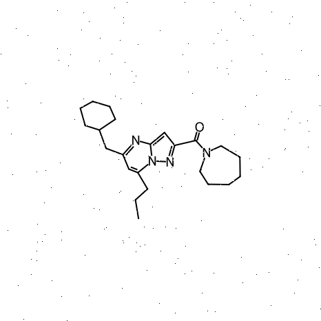 CCCc1cc(CC2CCCCC2)nc2cc(C(=O)N3CCCCCC3)nn12